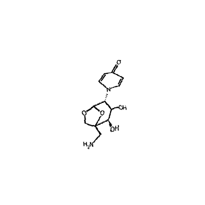 NCC12COC(O1)[C@H](n1ccc(=O)cc1)C(O)[C@H]2O